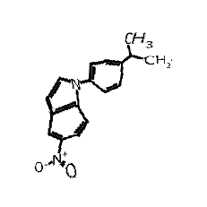 [CH2]C(C)c1ccc(-n2ccc3cc([N+](=O)[O-])ccc32)cc1